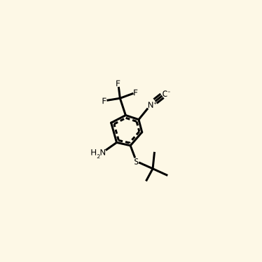 [C-]#[N+]c1cc(SC(C)(C)C)c(N)cc1C(F)(F)F